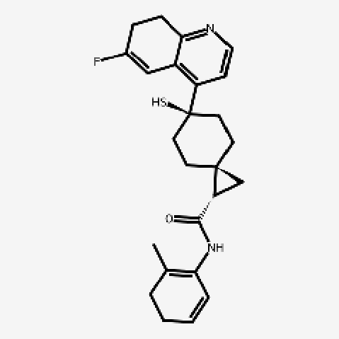 CC1=C(NC(=O)[C@H]2C[C@]23CC[C@](S)(c2ccnc4c2C=C(F)CC4)CC3)C=CCC1